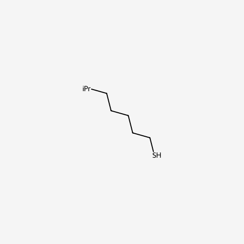 CC(C)CCCCCS